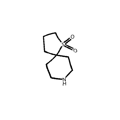 O=S1(=O)CCCC12CCNCC2